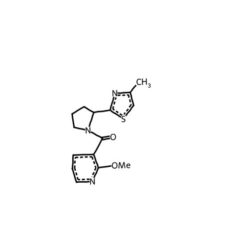 COc1ncccc1C(=O)N1CCCC1c1nc(C)cs1